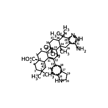 CC1(C)CC[C@]2(C(=O)O)CC[C@]3(C)C(=C(c4ccc5c(c4)CCN5)CC4[C@@]5(C)Cc6c(n[nH]c6N)C(C)(C)C5CC[C@]43C)C2C1